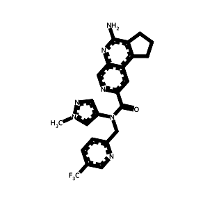 Cn1cc(N(Cc2ccc(C(F)(F)F)cn2)C(=O)c2cc3c4c(c(N)nc3cn2)CCC4)cn1